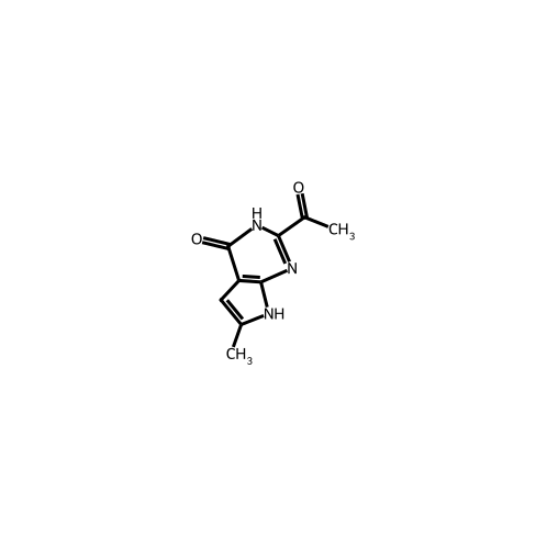 CC(=O)c1nc2[nH]c(C)cc2c(=O)[nH]1